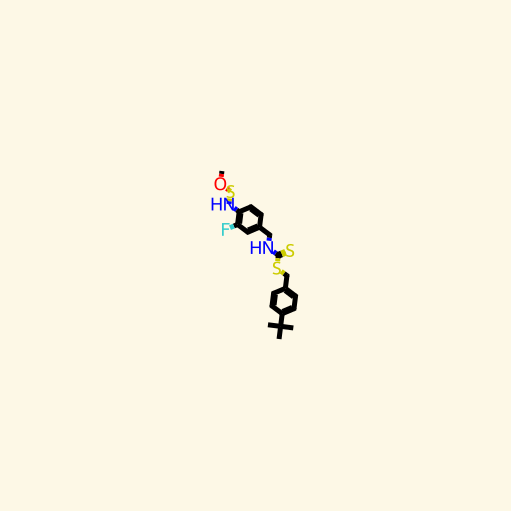 COSNc1ccc(CNC(=S)SCc2ccc(C(C)(C)C)cc2)cc1F